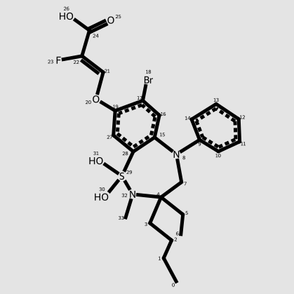 CCCCC1(CC)CN(c2ccccc2)c2cc(Br)c(OC=C(F)C(=O)O)cc2S(O)(O)N1C